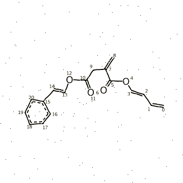 C=CC=COC(=O)C(=C)CC(=O)OC=Cc1ccccc1